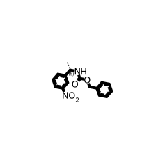 C[C@H](NC(=O)OCc1ccccc1)c1cccc([N+](=O)[O-])c1